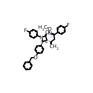 C=C(C/C(=N/OC)c1ccc(F)cc1)[C@H]1C(=O)N(c2ccc(F)cc2)[C@@H]1c1ccc(OCc2ccccc2)cc1